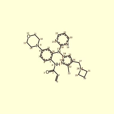 C=CC(=O)Nc1ccc(N2CCOCC2)cc1N(c1ncccn1)n1cc(CN2CCC2)c(C)n1